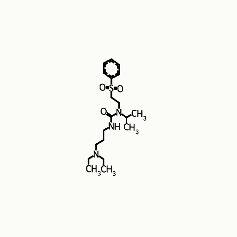 CCN(CC)CCCNC(=O)N(CCS(=O)(=O)c1ccccc1)C(C)C